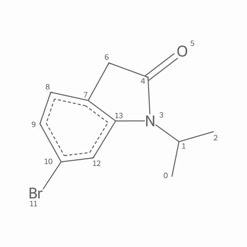 CC(C)N1C(=O)Cc2ccc(Br)cc21